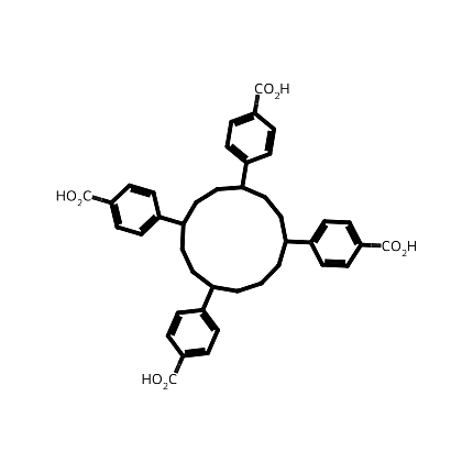 O=C(O)c1ccc(C2CCCC(c3ccc(C(=O)O)cc3)CCC(c3ccc(C(=O)O)cc3)CCC(c3ccc(C(=O)O)cc3)CC2)cc1